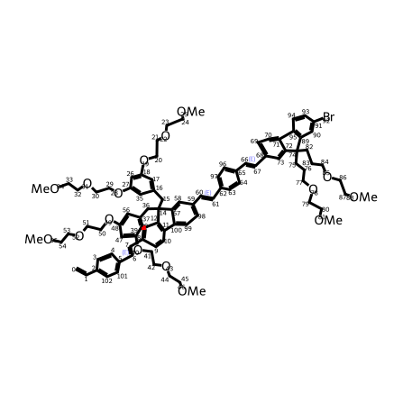 C=Cc1ccc(/C=C/c2ccc3c(c2)C(Cc2cc(OCCOCCOC)cc(OCCOCCOC)c2)(Cc2cc(OCCOCCOC)cc(OCCOCCOC)c2)c2cc(/C=C/c4ccc(/C=C/c5ccc6c(c5)C(CCCOCCOC)(CCCOCCOC)c5cc(Br)ccc5-6)cc4)ccc2-3)cc1